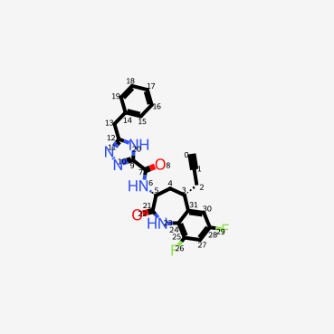 C#CC[C@H]1C[C@@H](NC(=O)c2nnc(Cc3ccccc3)[nH]2)C(=O)Nc2c(F)cc(F)cc21